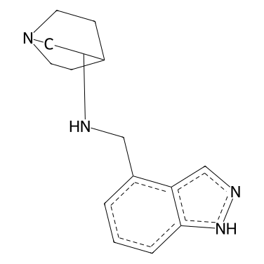 c1cc(CNC2CN3CCC2CC3)c2cn[nH]c2c1